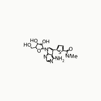 CNC(=O)c1ccc(-c2cn([C@@H]3OC(CO)C(O)[C@@H]3O)c3ncnc(N)c23)s1